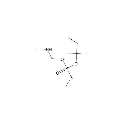 CCC(C)(C)OP(=O)(OCNC)SC